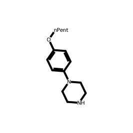 CCCCCOc1ccc(N2CCNCC2)cc1